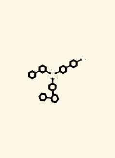 N#Cc1ccc(-c2ccc(-c3nc(-c4cccc(-c5ccccc5)c4)nc(-c4ccc5c(c4)oc4cccc(-c6ccccc6)c45)n3)cc2)cc1